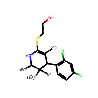 CCCC1NC(SCCO)=C(C#N)C(c2ccc(Cl)cc2Cl)C1(CC)C(=O)O